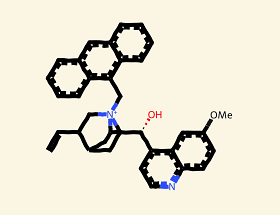 C=CC1C[N+]2(Cc3c4ccccc4cc4ccccc34)CCC1CC2[C@H](O)c1ccnc2ccc(OC)cc12